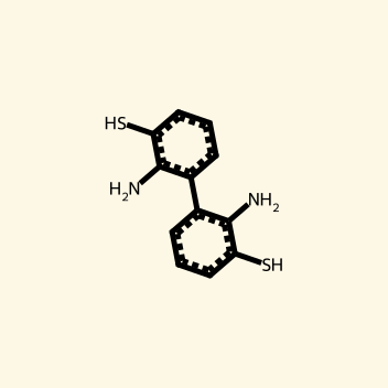 Nc1c(S)cccc1-c1cccc(S)c1N